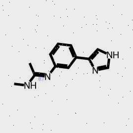 CN/C(C)=N/c1cccc(-c2c[nH]cn2)c1